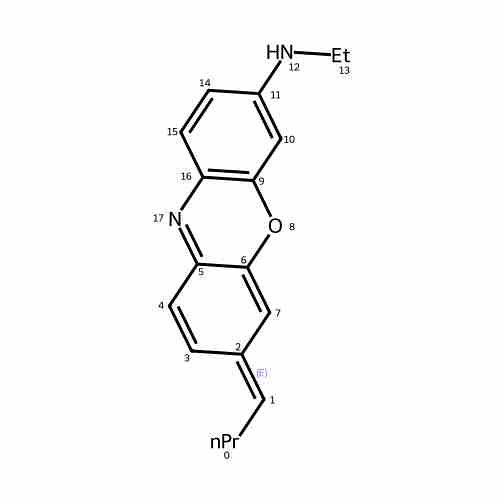 CCC/C=c1\ccc2c(c1)Oc1cc(NCC)ccc1N=2